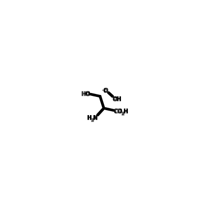 NC(CO)C(=O)O.[O]O